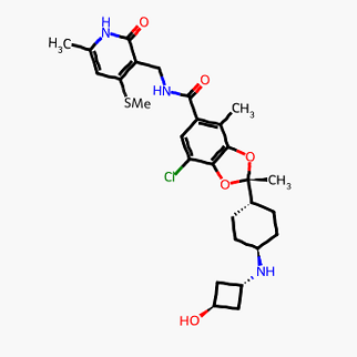 CSc1cc(C)[nH]c(=O)c1CNC(=O)c1cc(Cl)c2c(c1C)O[C@](C)([C@H]1CC[C@H](N[C@H]3C[C@H](O)C3)CC1)O2